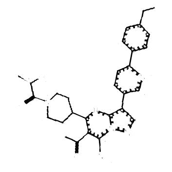 CCc1ccc(-c2ccc(-c3cnn4c(N)c(C(C)=O)c(C5CCN(C(=O)[C@@H](C)O)CC5)nc34)cn2)cc1